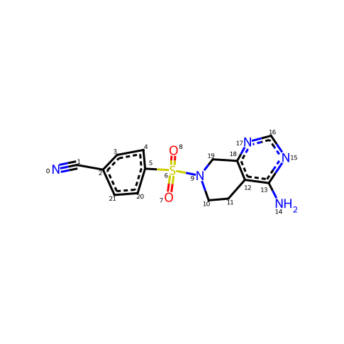 N#Cc1ccc(S(=O)(=O)N2CCc3c(N)ncnc3C2)cc1